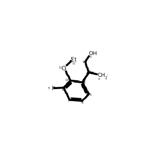 [CH2]C(CO)c1cccc(I)c1OCC